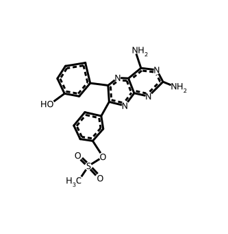 CS(=O)(=O)Oc1cccc(-c2nc3nc(N)nc(N)c3nc2-c2cccc(O)c2)c1